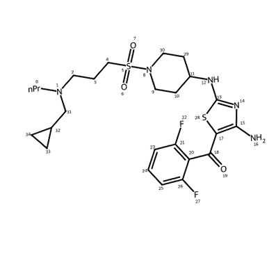 CCCN(CCCS(=O)(=O)N1CCC(Nc2nc(N)c(C(=O)c3c(F)cccc3F)s2)CC1)CC1CC1